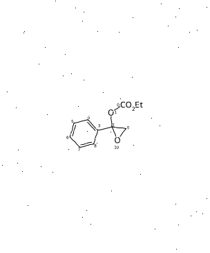 CCOC(=O)OC1(c2ccccc2)CO1